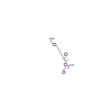 COCCCc1ccc(CCCCOCCCCCN(CC(=O)c2ccc(OCc3ccccc3)c(NC=O)c2)Cc2ccccc2)cc1